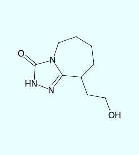 O=c1[nH]nc2n1CCCCC2CCO